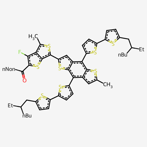 CCCCCCCCCC(=O)c1sc2c(-c3cc4c(-c5ccc(-c6ccc(CC(CC)CCCC)s6)s5)c5sc(C)cc5c(-c5ccc(-c6ccc(CC(CC)CCCC)s6)s5)c4s3)sc(C)c2c1F